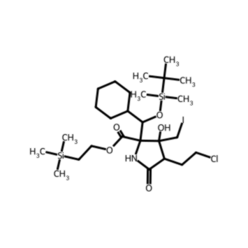 CC(C)(C)[Si](C)(C)OC(C1CCCCC1)C1(C(=O)OCC[Si](C)(C)C)NC(=O)C(CCCl)C1(O)CI